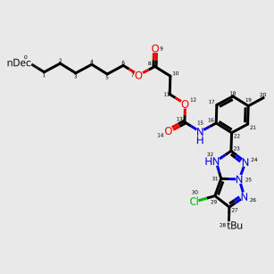 CCCCCCCCCCCCCCCCOC(=O)CCOC(=O)Nc1ccc(C)cc1-c1nn2nc(C(C)(C)C)c(Cl)c2[nH]1